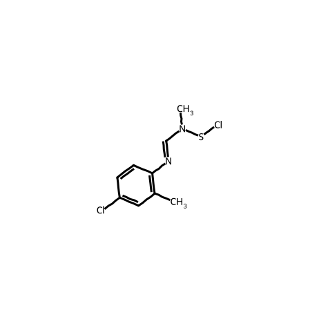 Cc1cc(Cl)ccc1N=CN(C)SCl